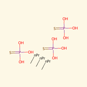 CCCC.CCCC.CCCC.OP(O)(O)=S.OP(O)(O)=S.OP(O)(O)=S